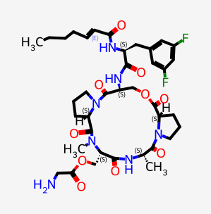 CCCC/C=C/C(=O)N[C@@H](Cc1cc(F)cc(F)c1)C(=O)N[C@H]1COC(=O)[C@@H]2CCCN2C(=O)[C@H](C)NC(=O)[C@H](COC(=O)CN)N(C)C(=O)[C@@H]2CCCN2C1=O